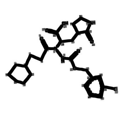 O=C(NN(C(=O)CCC1CCCCC1)C(CC1CCNC1=O)C(=O)O)OCc1cccc(Cl)c1